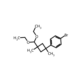 CCOC(OCC)C1(C)CC(C)(c2ccc(Br)cc2)C1